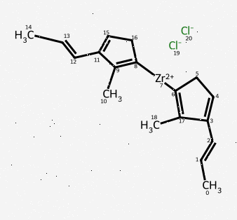 CC=CC1=CC[C]([Zr+2][C]2=C(C)C(C=CC)=CC2)=C1C.[Cl-].[Cl-]